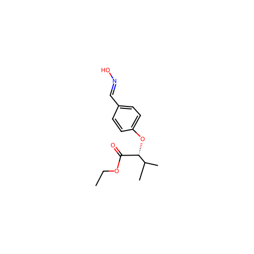 CCOC(=O)[C@H](Oc1ccc(/C=N/O)cc1)C(C)C